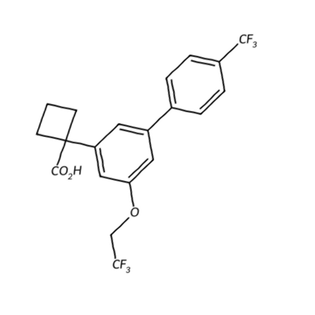 O=C(O)C1(c2cc(OCC(F)(F)F)cc(-c3ccc(C(F)(F)F)cc3)c2)CCC1